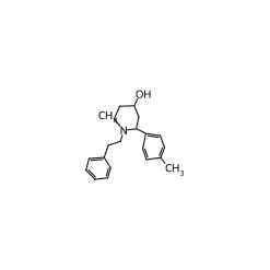 C.Cc1ccc(C2CC(O)CCN2CCc2ccccc2)cc1